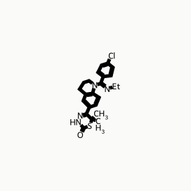 CCN=C(c1ccc(Cl)cc1)N1CCCc2cc(C3=NNC(=O)SC3(C)C)ccc21